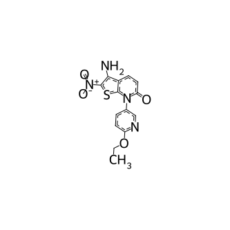 CCOc1ccc(-n2c(=O)ccc3c(N)c([N+](=O)[O-])sc32)cn1